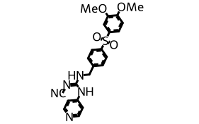 COc1ccc(S(=O)(=O)c2ccc(CNC(=NC#N)Nc3ccncc3)cc2)cc1OC